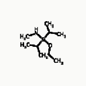 CCO[Si](NC)(C(C)C)C(C)C